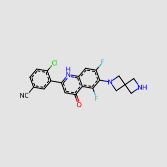 N#Cc1ccc(Cl)c(-c2cc(=O)c3c(F)c(N4CC5(CNC5)C4)c(F)cc3[nH]2)c1